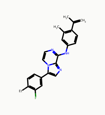 C=C(C)c1ccc(Nc2nccn3c(-c4ccc(CC)c(F)c4)cnc23)cc1C